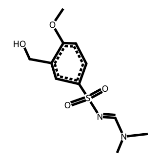 COc1ccc(S(=O)(=O)N=CN(C)C)cc1CO